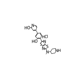 CN(c1nc2sc(-c3ccc(-c4ccnc(O)c4)cc3O)nc2s1)C1CCNCC1.Cl